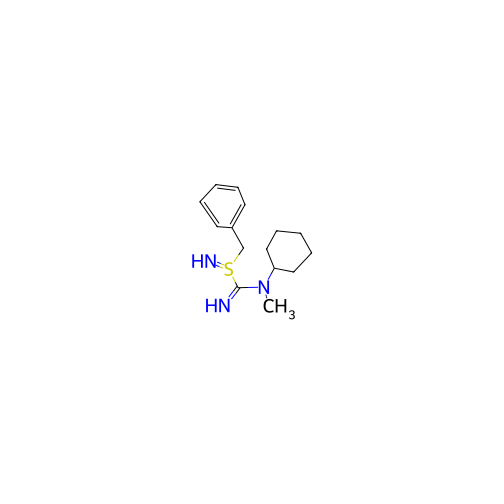 CN(C(=N)S(=N)Cc1ccccc1)C1CCCCC1